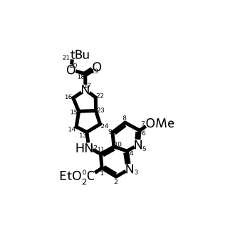 CCOC(=O)c1cnc2nc(OC)ccc2c1NC1CC2CN(C(=O)OC(C)(C)C)CC2C1